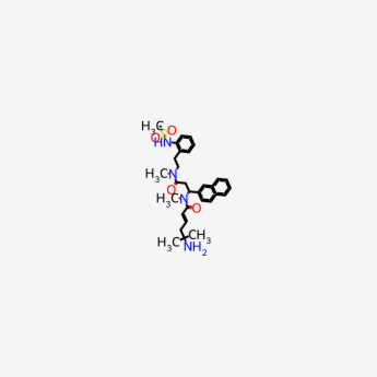 CN(CCc1ccccc1NS(C)(=O)=O)C(=O)CC(c1ccc2ccccc2c1)N(C)C(=O)/C=C/CC(C)(C)N